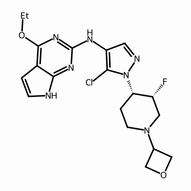 CCOc1nc(Nc2cnn([C@H]3CCN(C4COC4)C[C@H]3F)c2Cl)nc2[nH]ccc12